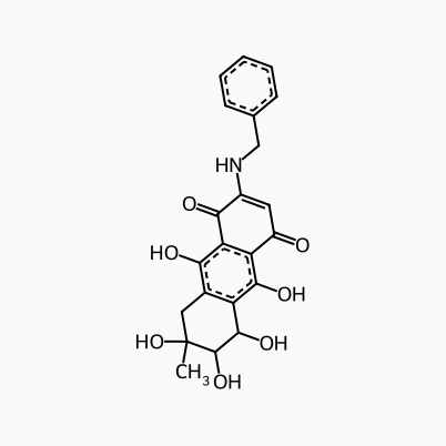 CC1(O)Cc2c(O)c3c(c(O)c2C(O)C1O)C(=O)C=C(NCc1ccccc1)C3=O